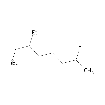 CCC(C)CC(CC)CCCC(C)F